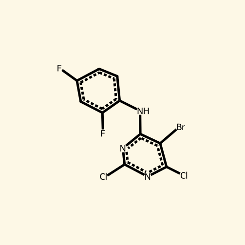 Fc1ccc(Nc2nc(Cl)nc(Cl)c2Br)c(F)c1